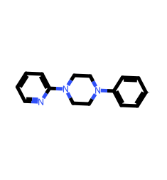 [c]1ccc(N2CCN(c3ccccn3)CC2)cc1